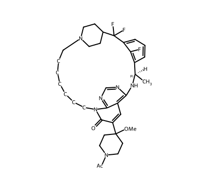 COC1(c2cc3c4ncnc3n(c2=O)CCCCCCCN2CCC(CC2)C(F)(F)c2cccc(c2F)[C@@H](C)N4)CCN(C(C)=O)CC1